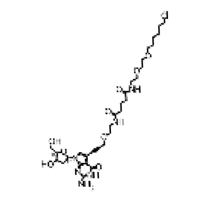 Nc1nc2c(c(C#CCOCCNC(=O)CCCC(=O)NCCOCCOCCCCCCCl)cn2[C@H]2CC(O)[C@@H](CO)O2)c(=O)[nH]1